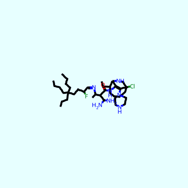 CCCCC(CCC)(CCCC)CCC(F)/C=N\C(C)C(C(=O)NC1=C(N2CCNCC2)C2(Cl)CCCCC(CC)C1NC2)C(N)N